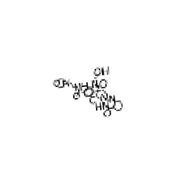 O=C(NCCN1CCOCC1)c1cc(Cl)c2c(c1)N(CCO)C(=O)C21CCN(c2nc3c(c(=O)[nH]2)CCCC3)CC1